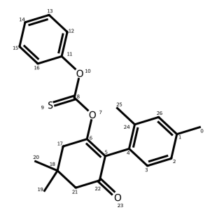 Cc1ccc(C2=C(OC(=S)Oc3ccccc3)CC(C)(C)CC2=O)c(C)c1